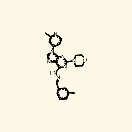 Cc1cccc(/C=N/Nc2nc(N3CCOCC3)nc3c2ncn3-c2ccnc(C)c2)c1